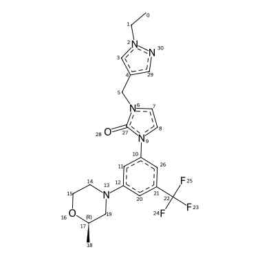 CCn1cc(Cn2ccn(-c3cc(N4CCO[C@H](C)C4)cc(C(F)(F)F)c3)c2=O)cn1